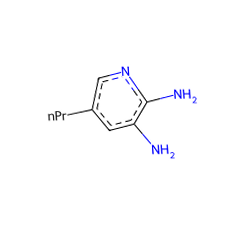 CCCc1cnc(N)c(N)c1